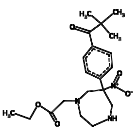 CCOC(=O)CN1CCNCC(c2ccc(C(=O)C(C)(C)C)cc2)([N+](=O)[O-])C1